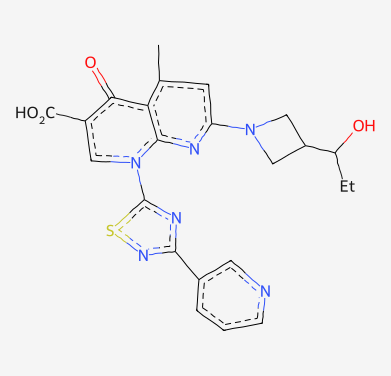 CCC(O)C1CN(c2cc(C)c3c(=O)c(C(=O)O)cn(-c4nc(-c5cccnc5)ns4)c3n2)C1